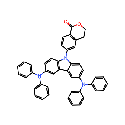 O=C1OCCc2cc(-n3c4ccc(N(c5ccccc5)c5ccccc5)cc4c4cc(N(c5ccccc5)c5ccccc5)ccc43)ccc21